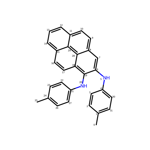 Cc1ccc(Nc2cc3ccc4cccc5ccc(c2Nc2ccc(C)cc2)c3c45)cc1